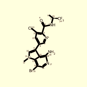 C[C@H](NC(=O)c1ncc(-c2cn(C)c3c(Br)cnc(N)c23)cc1Cl)C(F)(F)F